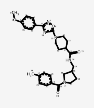 COc1ccc(-c2noc(N3CCC(C(=O)NCC4CCN(C(=O)c5ccc(C)cc5)C4)CC3)n2)cc1